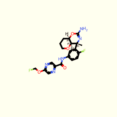 C[C@]1(c2cc(NC(=O)c3cnc(OCF)cn3)ccc2F)N=C(N)O[C@@H]2CCCO[C@@H]21